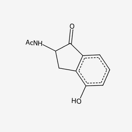 CC(=O)NC1Cc2c(O)cccc2C1=O